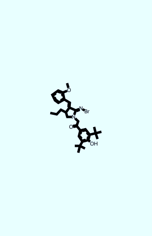 CCCC1CN(CC(=O)c2cc(C(C)(C)C)c(O)c(C(C)(C)C)c2)C(=N\Br)/C1=C/c1ccccc1OC